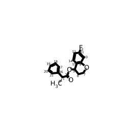 C[C@@H](C(=O)OC1CCOc2cc(F)ccc21)c1ccccc1